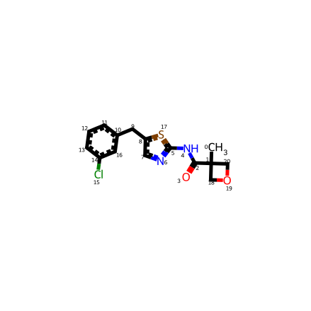 CC1(C(=O)Nc2ncc(Cc3cccc(Cl)c3)s2)COC1